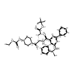 CCOC(=O)ON1CCN(C(=O)[C@H](CCC(=O)OC(C)(C)C)NC(=O)c2cc(N[C@@H](C)c3ccccc3)nc(-c3ccccc3)n2)CC1